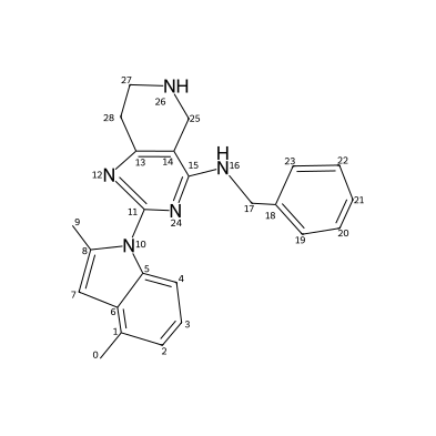 Cc1cccc2c1cc(C)n2-c1nc2c(c(NCc3ccccc3)n1)CNCC2